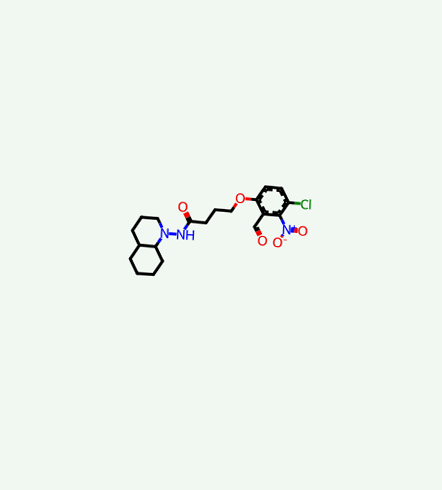 O=Cc1c(OCCCC(=O)NN2CCCC3CCCCC32)ccc(Cl)c1[N+](=O)[O-]